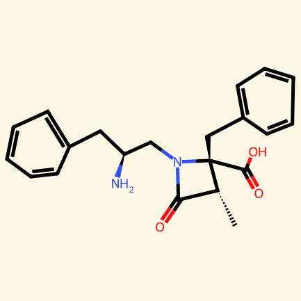 C[C@@H]1C(=O)N(C[C@@H](N)Cc2ccccc2)[C@]1(Cc1ccccc1)C(=O)O